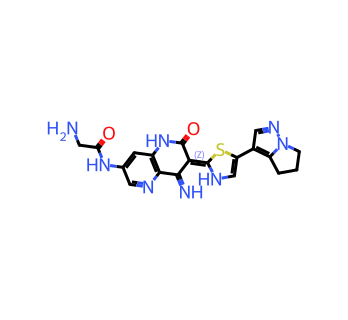 N=C1/C(=C2\NC=C(c3cnn4c3CCC4)S2)C(=O)Nc2cc(NC(=O)CN)cnc21